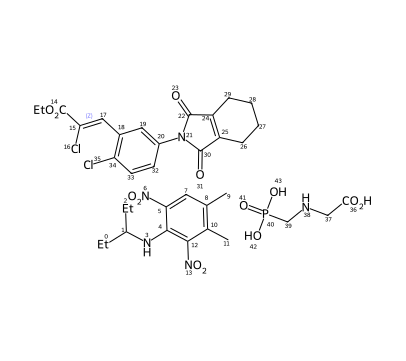 CCC(CC)Nc1c([N+](=O)[O-])cc(C)c(C)c1[N+](=O)[O-].CCOC(=O)/C(Cl)=C/c1cc(N2C(=O)C3=C(CCCC3)C2=O)ccc1Cl.O=C(O)CNCP(=O)(O)O